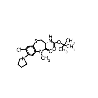 CN1C(=O)[C@@H](NC(=O)OC(C)(C)C)CSc2cc(Cl)c(N3CCCC3)cc21